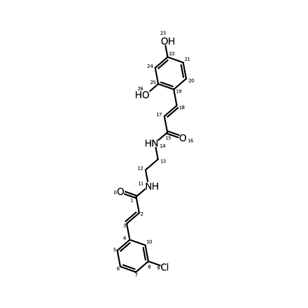 O=C(/C=C/c1cccc(Cl)c1)NCCNC(=O)/C=C/c1ccc(O)cc1O